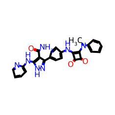 CN(c1ccccc1)c1c(Nc2ccc(-c3n[nH]c(Nc4ccccn4)c3C(N)=O)cc2)c(=O)c1=O